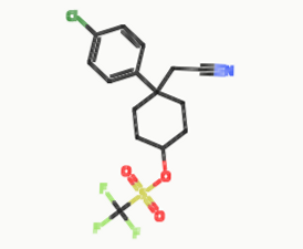 N#CCC1(c2ccc(Cl)cc2)CCC(OS(=O)(=O)C(F)(F)F)CC1